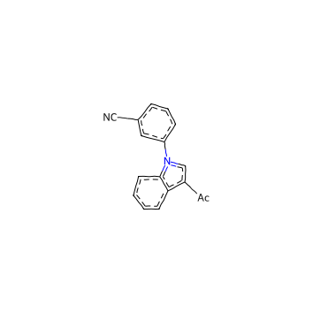 CC(=O)c1cn(-c2cccc(C#N)c2)c2ccccc12